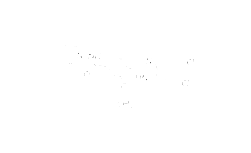 CCOc1cc(C(=O)NN2CCCCC2)ccc1-c1nc2cc(Cl)c(Cl)cc2[nH]1